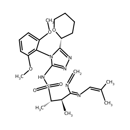 C=N/C(=N\C=C(C)C)[C@@H](C)[C@H](C)S(=O)(=O)Nc1nnc([C@H]2CCCCO2)n1-c1c(OC)cccc1OC